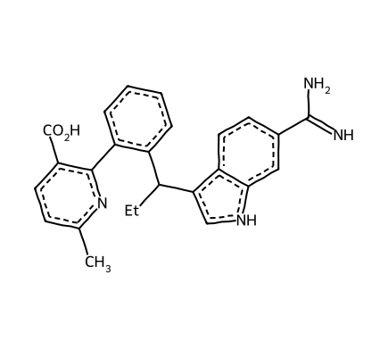 CCC(c1ccccc1-c1nc(C)ccc1C(=O)O)c1c[nH]c2cc(C(=N)N)ccc12